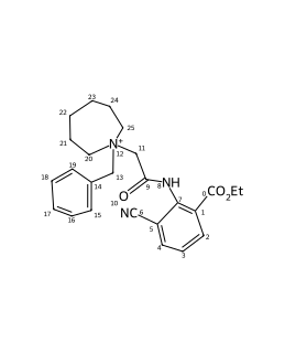 CCOC(=O)c1cccc(C#N)c1NC(=O)C[N+]1(Cc2ccccc2)CCCCCC1